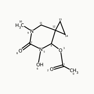 CC(=O)OC1N(O)C(=O)N(C)CC12CC2